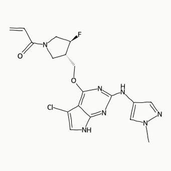 C=CC(=O)N1C[C@@H](COc2nc(Nc3cnn(C)c3)nc3[nH]cc(Cl)c23)[C@H](F)C1